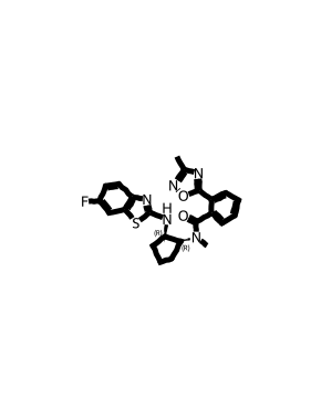 Cc1noc(-c2ccccc2C(=O)N(C)[C@@H]2CCC[C@H]2Nc2nc3ccc(F)cc3s2)n1